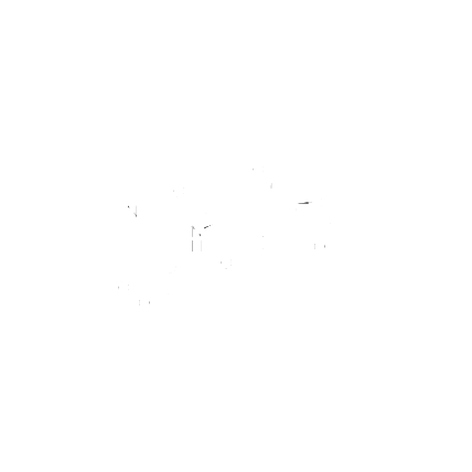 CC[C@H]1OCC[C@H](NC(=O)c2nccc(OC)c2OC(C)=O)C(=O)O[C@@H](C)[C@@H]1OC(=O)C(C)C